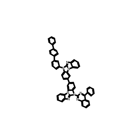 c1ccc(-c2ccc(-c3cccc(-n4c5ccc(-c6ccc7c(c6)n6c8ccccc8nc6n7-c6nc(-c7ccccc7)c7ccccc7n6)cc5n5c6ccccc6nc45)c3)cc2)cc1